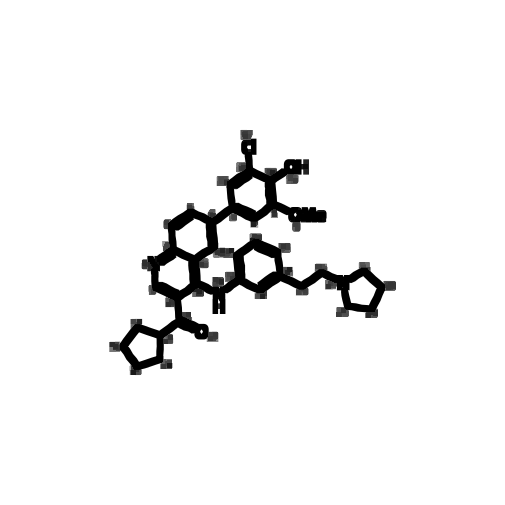 COc1cc(-c2ccc3ncc(C(=O)C4CCCC4)c(Nc4cccc(CCN5CCCC5)c4)c3c2)cc(Cl)c1O